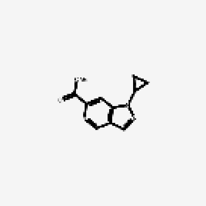 COC(=O)c1cc2c(cn1)cnn2C1CC1